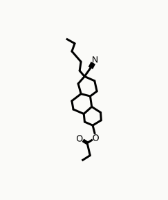 CCCCCC1(C#N)CCC2C(CCC3CC(OC(=O)CC)CCC32)C1